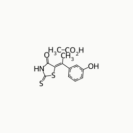 CC(=C1SC(=S)NC1=O)c1cccc(O)c1.CC(=O)O